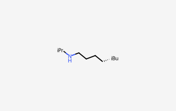 CC[C@@H](C)CCCCNC(C)C